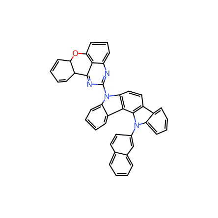 C1=CC2Oc3cccc4nc(-n5c6ccccc6c6c5ccc5c7ccccc7n(-c7ccc8ccccc8c7)c56)nc(c34)C2C=C1